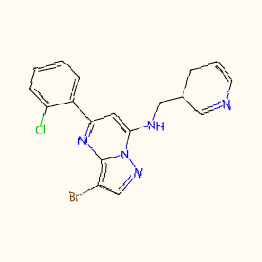 Clc1ccccc1-c1cc(NCC2C=NC=CC2)n2ncc(Br)c2n1